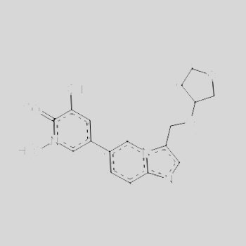 Cc1cc(-c2ccc3ncc(COC4CCOC4)n3c2)cn(C)c1=O